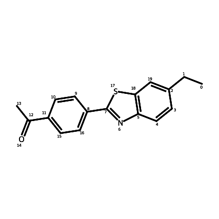 CCc1ccc2nc(-c3ccc(C(C)=O)cc3)sc2c1